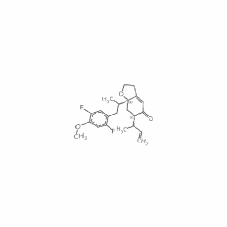 C=CC(C)[C@H]1C[C@]2(C(C)Cc3cc(F)c(OC)cc3F)OCCC2=CC1=O